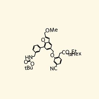 CCCCCCC.CCOC(=O)Cc1ccc(C#N)cc1OCc1cc(-c2cccc(CNC(=O)OC(C)(C)C)c2)c2oc(COC)cc2c1